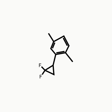 Cc1ccc(C)c(C2CC2(F)F)c1